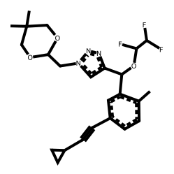 Cc1ccc(C#CC2CC2)cc1C(OC(F)C(F)F)c1cn(CC2OCC(C)(C)CO2)nn1